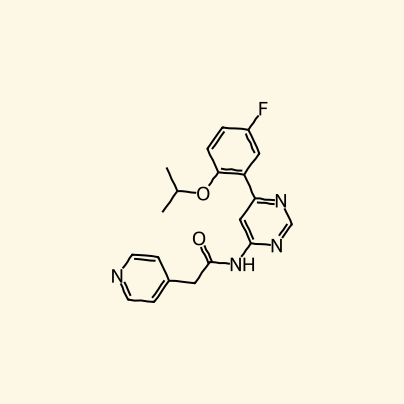 CC(C)Oc1ccc(F)cc1-c1cc(NC(=O)Cc2ccncc2)ncn1